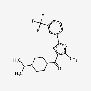 Cc1nc(-c2cccc(C(F)(F)F)c2)sc1C(=O)N1CCN(C(C)C)CC1